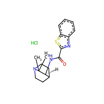 CC1(C)[C@@H](NC(=O)c2nc3ccccc3s2)C2CCN1CC2.Cl